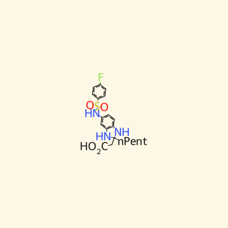 CCCCCC1(CC(=O)O)Nc2ccc(NS(=O)(=O)c3ccc(F)cc3)cc2N1